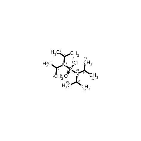 CC(C)N(C(C)C)P(=O)(Cl)N(C(C)C)C(C)C